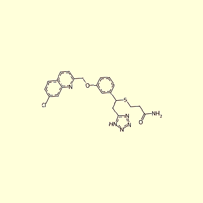 NC(=O)CCSC(Cc1nnn[nH]1)c1cccc(OCc2ccc3ccc(Cl)cc3n2)c1